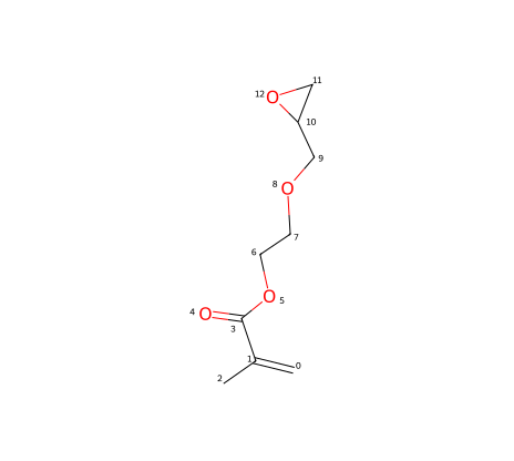 C=C(C)C(=O)OCCOCC1CO1